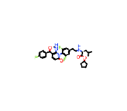 CNc1c(C(=O)c2ccc(F)cc2)ccc(=O)n1-c1c(F)cc(CCN[C@@H](CC(C)C)C(=O)OC2CCCC2)cc1F